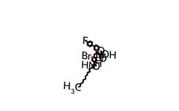 CCCCCCCCCCCCNC(=O)c1cc(Br)c(CC(NC(=O)C(=O)O)c2cccc(-c3ccc(F)cc3)c2)c(Br)c1